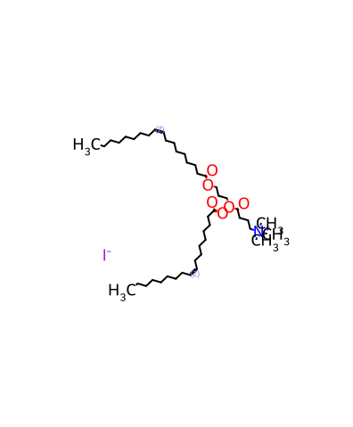 CCCCCCCC/C=C\CCCCCCCC(=O)OCC(COC(=O)CCC[N+](C)(C)C)OC(=O)CCCCCCC/C=C\CCCCCCCC.[I-]